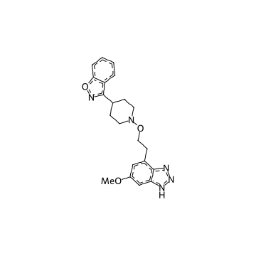 COc1cc(CCON2CCC(c3noc4ccccc34)CC2)c2nn[nH]c2c1